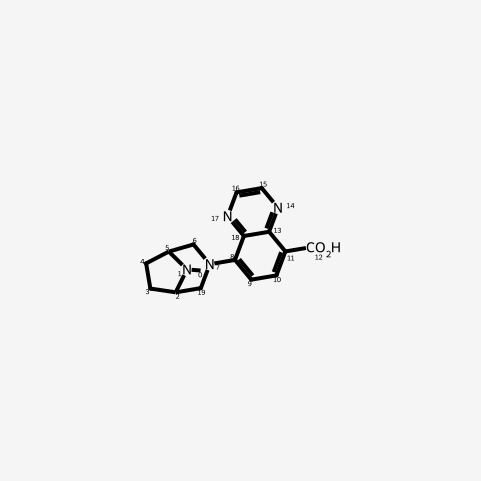 CN1C2CCC1CN(c1ccc(C(=O)O)c3nccnc13)C2